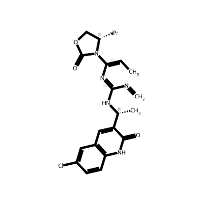 C=N/C(=N\C(=C/C)N1C(=O)OC[C@@H]1C(C)C)N[C@H](C)c1cc2cc(Cl)ccc2[nH]c1=O